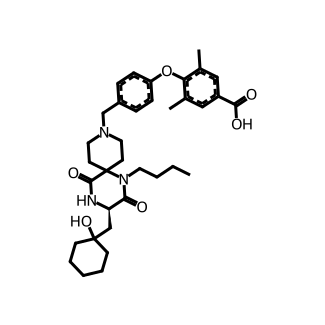 CCCCN1C(=O)[C@@H](CC2(O)CCCCC2)NC(=O)C12CCN(Cc1ccc(Oc3c(C)cc(C(=O)O)cc3C)cc1)CC2